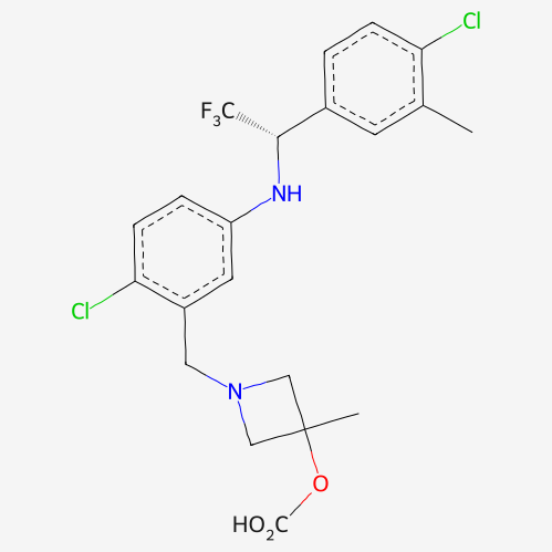 Cc1cc([C@H](Nc2ccc(Cl)c(CN3CC(C)(OC(=O)O)C3)c2)C(F)(F)F)ccc1Cl